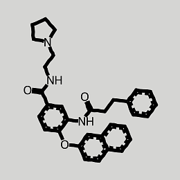 O=C(CCc1ccccc1)Nc1cc(C(=O)NCCN2CCCC2)ccc1Oc1ccc2ccccc2c1